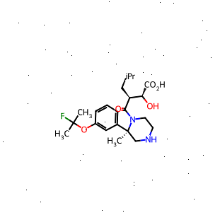 CC(C)C[C@H](C(=O)N1CCNC[C@@]1(C)c1cccc(OC(C)(C)F)c1)[C@H](O)C(=O)O